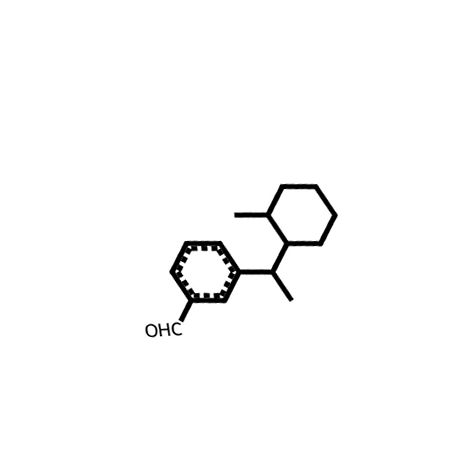 CC1CCCCC1C(C)c1cccc(C=O)c1